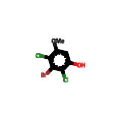 COc1cc(O)c(Cl)c(Br)c1Cl